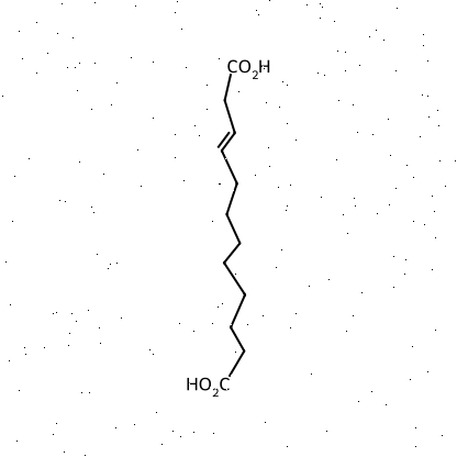 O=C(O)C/C=C/CCCCCCCC(=O)O